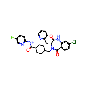 O=C(Nc1ccc(F)cn1)C1CCC(CN2C(=O)c3ccc(Cl)cc3NC(=O)[C@H]2Cc2ccccn2)CC1